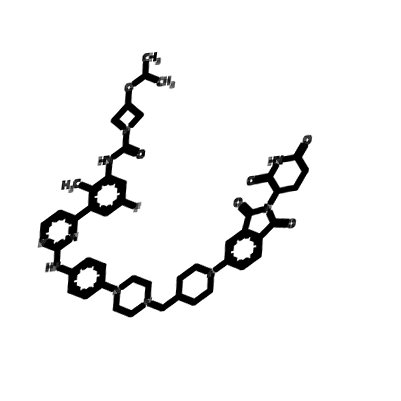 Cc1c(NC(=O)N2CC(OC(C)C)C2)cc(F)cc1-c1ccnc(Nc2ccc(N3CCN(CC4CCN(c5ccc6c(c5)C(=O)N(C5CCC(=O)NC5=O)C6=O)CC4)CC3)cc2)n1